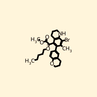 CCCCCO[C@@H](C(=O)OC)c1c2c(c(Br)c(C)c1-c1ccc3c(c1)CCCO3)NCCC2